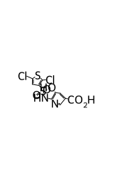 O=C(O)c1cnc(NS(=O)(=O)c2cc(Cl)sc2Cl)c(O)c1